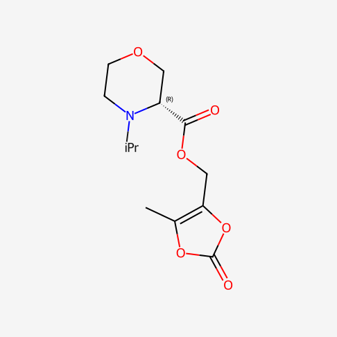 Cc1oc(=O)oc1COC(=O)[C@H]1COCCN1C(C)C